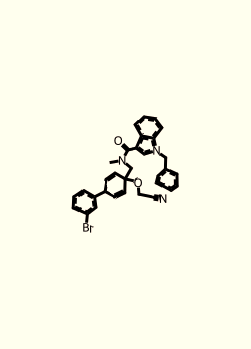 CN(CC1(OCC#N)C=CC(c2cccc(Br)c2)C=C1)C(=O)c1cn(Cc2ccccc2)c2ccccc12